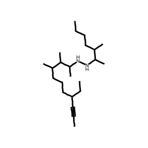 CC#CC(CC)CCCC(C)C(C)C(C)NNC(C)C(C)CCCC